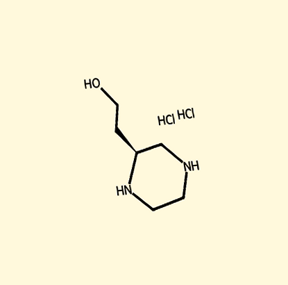 Cl.Cl.OCC[C@H]1CNCCN1